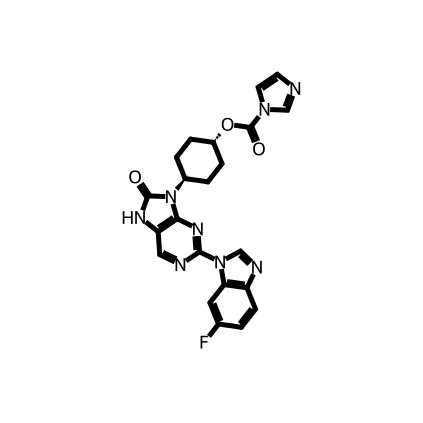 O=C(O[C@H]1CC[C@H](n2c(=O)[nH]c3cnc(-n4cnc5ccc(F)cc54)nc32)CC1)n1ccnc1